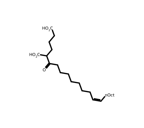 CCCCCCCC/C=C\CCCCCCCC(=O)C(CCCC(=O)O)C(=O)O